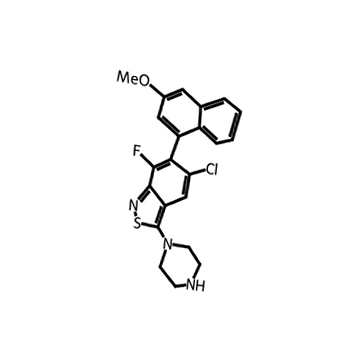 COc1cc(-c2c(Cl)cc3c(N4CCNCC4)snc3c2F)c2ccccc2c1